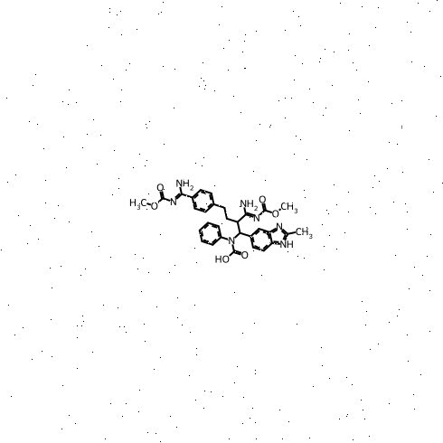 COC(=O)N=C(N)c1ccc(CCC(C(N)=NC(=O)OC)C(c2ccc3[nH]c(C)nc3c2)N(C(=O)O)c2ccccc2)cc1